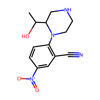 CC(O)C1CNCCN1c1ccc([N+](=O)[O-])cc1C#N